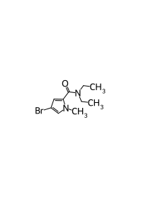 CCN(CC)C(=O)c1cc(Br)cn1C